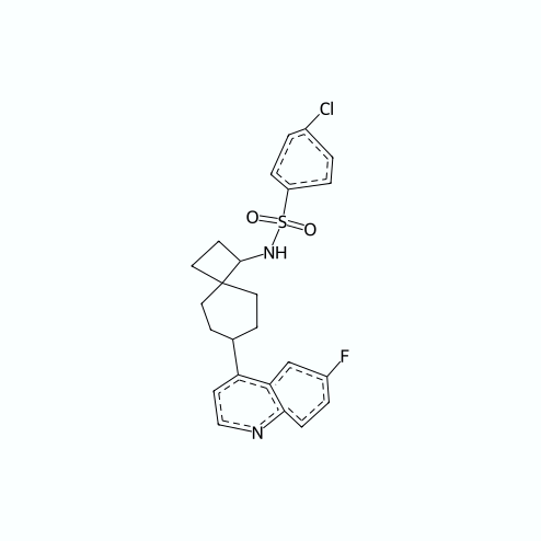 O=S(=O)(NC1CCC12CCC(c1ccnc3ccc(F)cc13)CC2)c1ccc(Cl)cc1